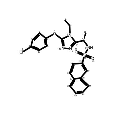 CCn1c(Oc2ccc(Cl)cc2)nnc1[C@@H](C)NS(=O)(=O)c1ccc2ccccc2c1